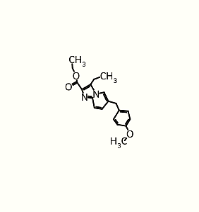 CCOC(=O)c1nc2ccc(Cc3ccc(OC)cc3)cn2c1CC